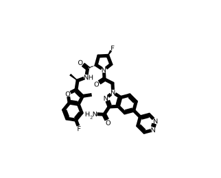 Cc1c([C@@H](C)NC(=O)[C@@H]2C[C@@H](F)CN2C(=O)Cn2nc(C(N)=O)c3cc(-c4ccnnc4)ccc32)oc2ccc(F)cc12